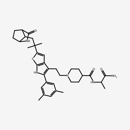 Cc1cc(C)cc(-c2[nH]c3sc(C(C)(C)CC4C5CCC4C(=O)N5)cc3c2CCN2CCC(C(=O)NC(C)C(N)=O)CC2)c1